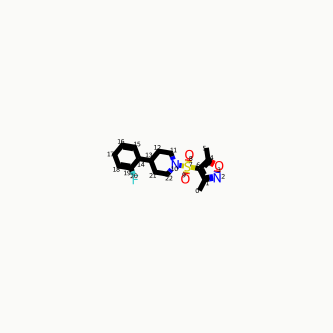 Cc1noc(C)c1S(=O)(=O)N1CCC(C2C=CCC=C2F)CC1